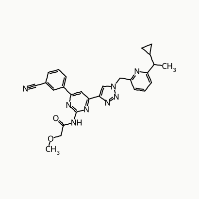 COCC(=O)Nc1nc(-c2cccc(C#N)c2)cc(-c2cn(Cc3cccc(C(C)C4CC4)n3)nn2)n1